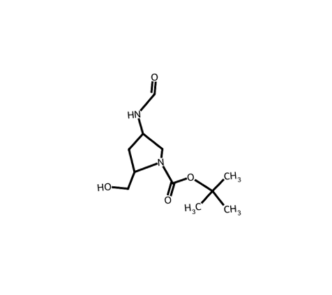 CC(C)(C)OC(=O)N1CC(NC=O)CC1CO